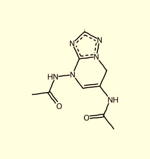 CC(=O)NC1=CN(NC(C)=O)c2n[c]nn2C1